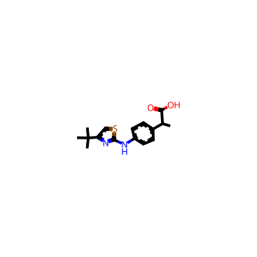 CC(C(=O)O)c1ccc(Nc2nc(C(C)(C)C)cs2)cc1